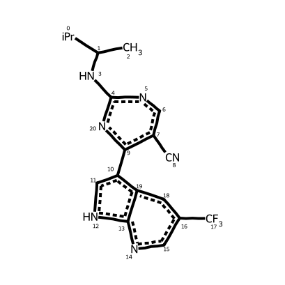 CC(C)C(C)Nc1ncc(C#N)c(-c2c[nH]c3ncc(C(F)(F)F)cc23)n1